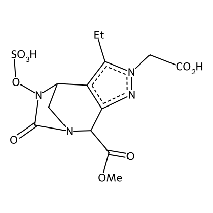 CCc1c2c(nn1CC(=O)O)C(C(=O)OC)N1CC2N(OS(=O)(=O)O)C1=O